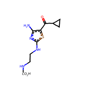 Nc1nc(NCCNC(=O)O)sc1C(=O)C1CC1